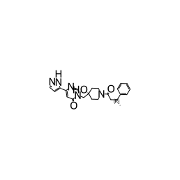 C[C@H](CC(=O)N1CCC(O)(Cn2cnc(-c3ccn[nH]3)cc2=O)CC1)c1ccccc1